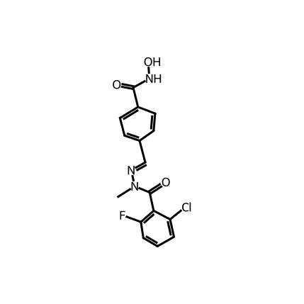 CN(N=Cc1ccc(C(=O)NO)cc1)C(=O)c1c(F)cccc1Cl